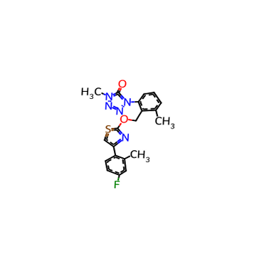 Cc1cc(F)ccc1-c1csc(OCc2c(C)cccc2-n2nnn(C)c2=O)n1